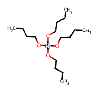 CCCC[O][Rf]([O]CCCC)([O]CCCC)[O]CCCC